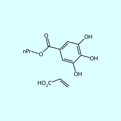 C=CC(=O)O.CCCOC(=O)c1cc(O)c(O)c(O)c1